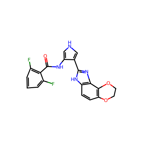 O=C(Nc1c[nH]cc1-c1nc2c3c(ccc2[nH]1)OCCO3)c1c(F)cccc1F